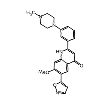 COc1cc2[nH]c(-c3cccc(N4CCN(C)CC4)c3)cc(=O)c2cc1-c1ccno1